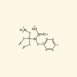 NCC(CF)(CF)N(Cc1ccccc1)C(=O)O